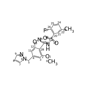 COc1cc(Cn2cccn2)cc2onc(NS(=O)(=O)c3cc(C)ccc3F)c12